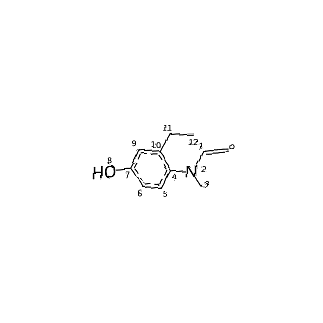 C=CN(C)c1ccc(O)cc1CC